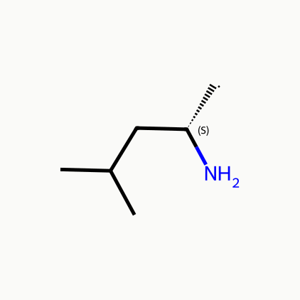 [CH2][C@H](N)CC(C)C